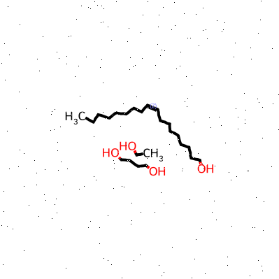 CCCCCCCC/C=C\CCCCCCCCO.CCO.OCCCCO